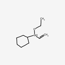 C=C[SiH](OCC)C1CCCCC1